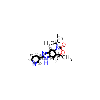 CC(C)N1C(=O)OC(C)(C)c2cc3[nH]c(-c4cccnc4)nc3cc21